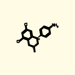 CN1Cc2c(Cl)cc(Cl)cc2[C@H](c2ccc(N)cc2)C1